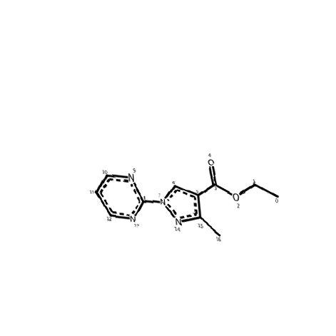 CCOC(=O)c1cn(-c2ncccn2)nc1C